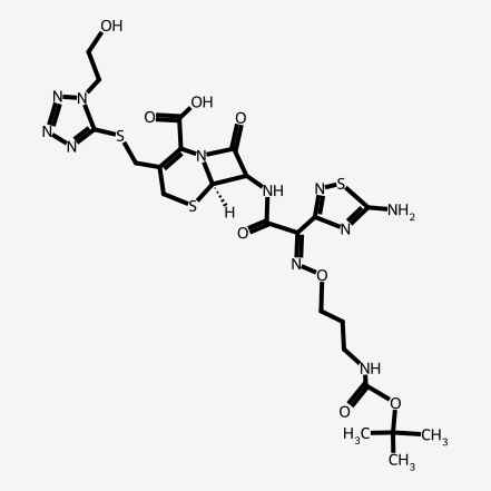 CC(C)(C)OC(=O)NCCCO/N=C(/C(=O)NC1C(=O)N2C(C(=O)O)=C(CSc3nnnn3CCO)CS[C@H]12)c1nsc(N)n1